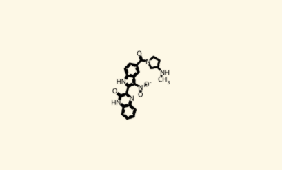 CNC1CCN(C(=O)c2ccc3[nH]c(-c4nc5ccccc5[nH]c4=O)c([N+](=O)[O-])c3c2)C1